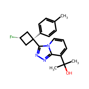 Cc1ccc([C@]2(c3nnc4c(C(C)(C)O)cccn43)C[C@H](F)C2)cc1